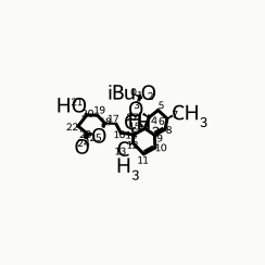 CC[C@H](C)C(=O)O[C@H]1C[C@@H](C)C=C2C=C[C@H](C)[C@](C)(CC[C@@H]3C[C@@H](O)CC(=O)O3)[C@H]21